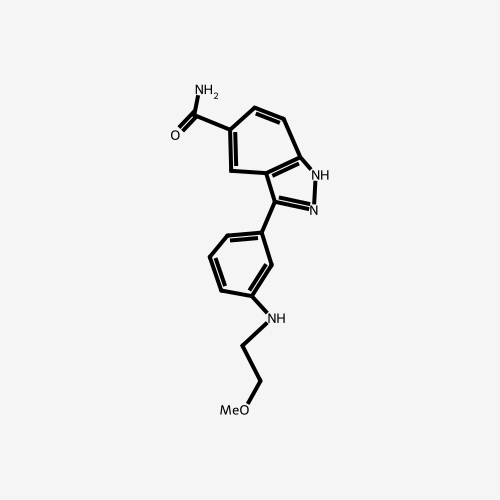 COCCNc1cccc(-c2n[nH]c3ccc(C(N)=O)cc23)c1